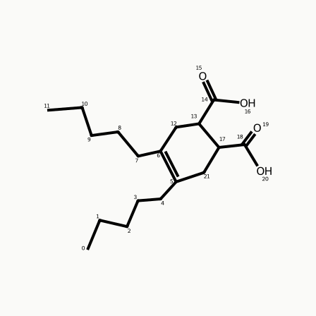 CCCCCC1=C(CCCCC)CC(C(=O)O)C(C(=O)O)C1